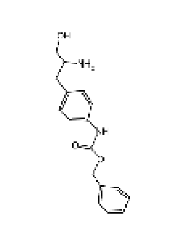 NC(CO)Cc1ccc(NC(=O)OCc2ccccc2)cc1